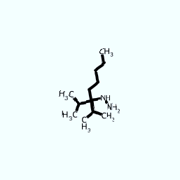 CCCCCC(NN)(C(C)C)C(C)C